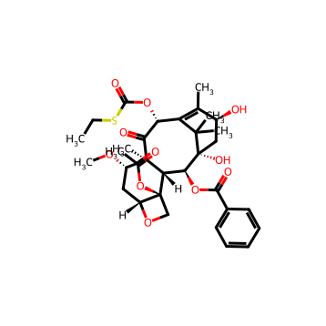 CCSC(=O)O[C@H]1C(=O)[C@]2(C)[C@@H](OC)C[C@H]3OC[C@@]3(OC(C)=O)[C@H]2[C@H](OC(=O)c2ccccc2)[C@]2(O)C[C@H](O)C(C)=C1C2(C)C